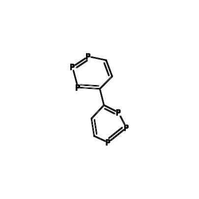 c1cc(-c2ccppp2)ppp1